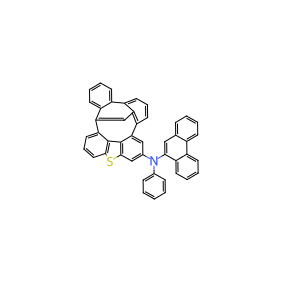 c1ccc(N(c2cc3sc4cccc5c6cc7c(cccc7c(c2)c3c45)c2ccccc26)c2cc3ccccc3c3ccccc23)cc1